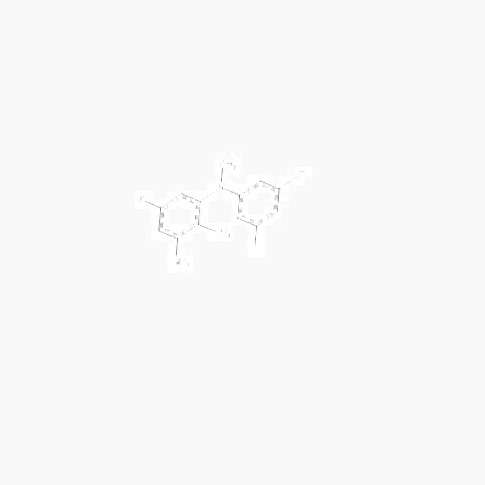 Cc1c(N)cc(F)cc1N(C)c1cc(F)cc(Cl)c1